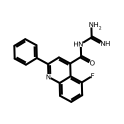 N=C(N)NC(=O)c1cc(-c2ccccc2)nc2cccc(F)c12